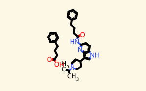 CC(C)N1C=CC(c2c[nH]c3ccc(NC(=O)CCCc4ccccc4)nc23)CC1.O=C(O)CCCc1ccccc1